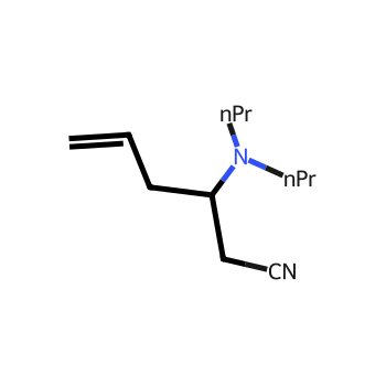 C=CCC(CC#N)N(CCC)CCC